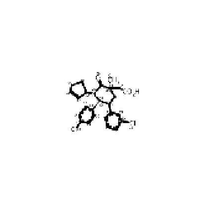 C[C@]1(CC(=O)O)CC(c2cccc(Cl)c2)[C@@H](c2ccc(Cl)cc2)N(C2C=CCC2)C1=O